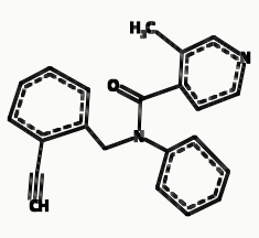 C#Cc1ccccc1CN(C(=O)c1ccncc1C)c1ccccc1